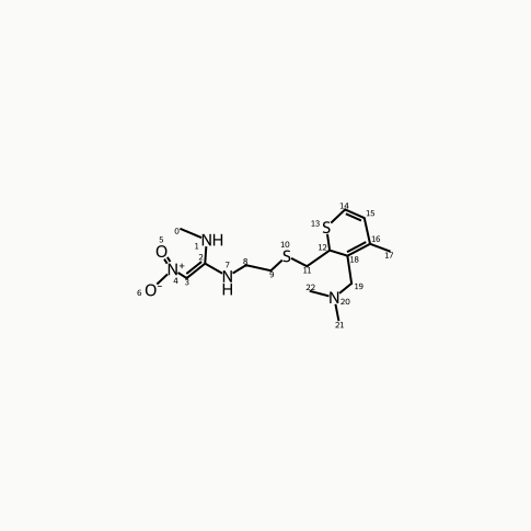 CNC(=C[N+](=O)[O-])NCCSCC1SC=CC(C)=C1CN(C)C